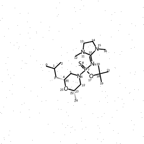 CC(C)C[C@@H]1CN(P(=S)(N=C2N(C)CCN2C)OC(C)(C)C)C[C@H](C)O1